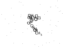 Cc1ccc(N2CCC(C(=O)N3C[C@@H](N(C)C(=O)O)[C@H](c4ccc(Cl)c(Cl)c4)C3)CC2)nn1